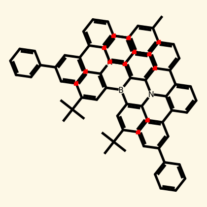 Cc1cccc(-c2cccc(-c3cccc(-c4ccccc4)c3)c2N2c3ccc(C(C)(C)C)cc3B3c4cc(C(C)(C)C)ccc4N(c4c(-c5cccc(-c6ccccc6)c5)cccc4-c4cccc(-c5ccccc5)c4)c4cccc2c43)c1